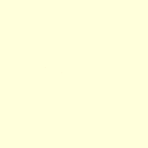 C#CC[C@H](O)CC#CCO